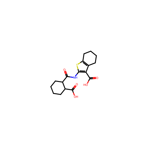 O=C(O)c1c(NC(=O)C2CCCCC2C(=O)O)sc2c1CCCC2